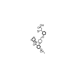 COc1ccc(C(=O)Nc2cncnc2)c(N2CCC(COc3cccc(C(CC(=O)O)C4CC4)c3)CC2)c1